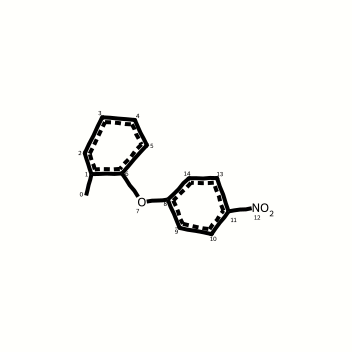 Cc1ccccc1Oc1[c]cc([N+](=O)[O-])cc1